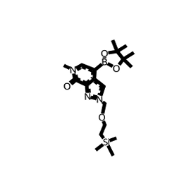 Cn1cc(B2OC(C)(C)C(C)(C)O2)c2cn(COCC[Si](C)(C)C)nc2c1=O